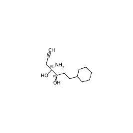 C#CC[C@](N)(O)[C@H](O)CCC1CCCCC1